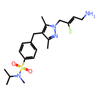 Cc1nn(CC(F)=CCN)c(C)c1Cc1ccc(S(=O)(=O)N(C)C(C)C)cc1